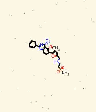 COc1c(-c2ccc(CNCCS(C)(=O)=O)o2)ccc2nc(-c3ccccc3)nc(N)c12